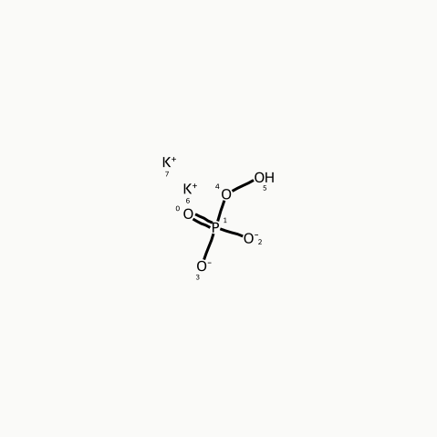 O=P([O-])([O-])OO.[K+].[K+]